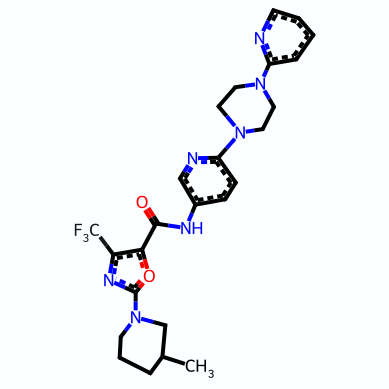 CC1CCCN(c2nc(C(F)(F)F)c(C(=O)Nc3ccc(N4CCN(c5ccccn5)CC4)nc3)o2)C1